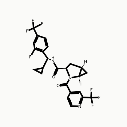 O=C(N[C@@H](c1ccc(C(F)(F)F)cc1F)C1CC1)[C@H]1C[C@H]2C[C@H]2N1C(=O)c1ccnc(C(F)(F)F)c1